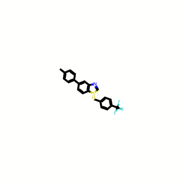 Cc1ccc(-c2ccc3c(c2)N=C[SH]3Cc2ccc(C(F)(F)F)cc2)cc1